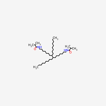 CCCCCCCCCC(CCCCCCCNC(=O)C(C)C)C(CCCCCCCCC)CCCCCCCNC(=O)C(C)C